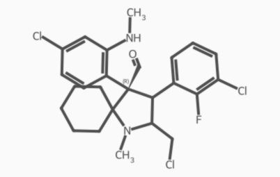 CNc1cc(Cl)ccc1[C@]1(C=O)C(c2cccc(Cl)c2F)C(CCl)N(C)C12CCCCC2